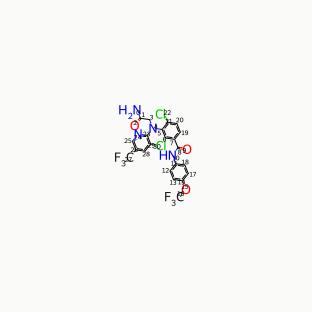 NC(=O)CN(c1cc(C(=O)Nc2ccc(OC(F)(F)F)cc2)ccc1Cl)c1ncc(C(F)(F)F)cc1Cl